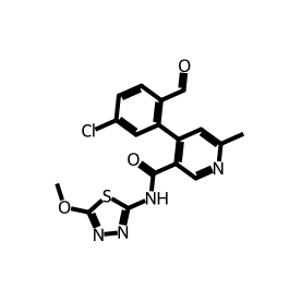 COc1nnc(NC(=O)c2cnc(C)cc2-c2cc(Cl)ccc2C=O)s1